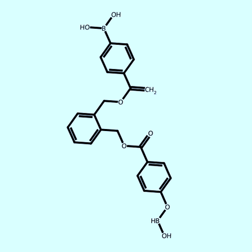 C=C(OCc1ccccc1COC(=O)c1ccc(OBO)cc1)c1ccc(B(O)O)cc1